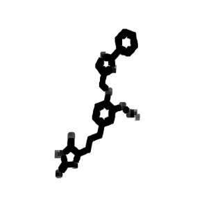 COc1cc(CCCC2SC(=O)NC2=O)ccc1OCc1csc(-c2ccccc2)n1